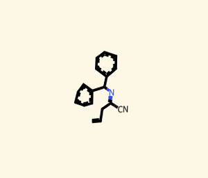 C=CCC(C#N)=NC(c1ccccc1)c1ccccc1